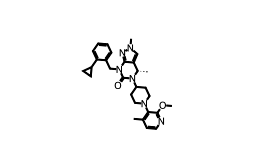 COc1nccc(C)c1N1CCC(N2C(=O)N(Cc3ccccc3C3CC3)c3nn(C)cc3[C@@H]2C)CC1